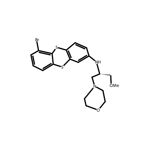 COC[C@H](CN1CCOCC1)Nc1ccc2c(c1)Sc1cccc(Br)c1S2